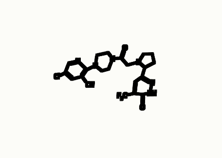 N#Cc1cc(Cl)cnc1N1CCN(C(=O)CN2CCCC2c2cc(C(F)(F)F)c(=O)[nH]n2)CC1